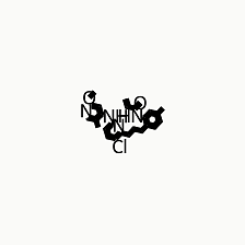 C=CC(=O)Nc1cc(C)ccc1CCCc1nc(Nc2cc(OC)ncc2C)ccc1Cl